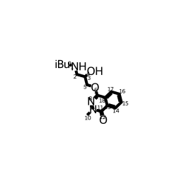 CCC(C)NCC(O)COc1nn(C)c(=O)c2ccccc12